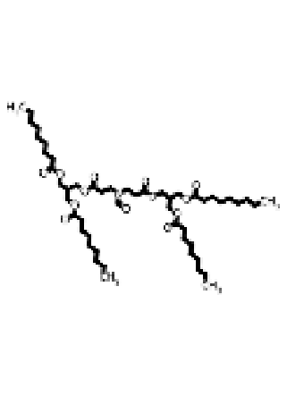 CCCCCCCCC(=O)OCC(COC(=O)CCCCCCCC)COC(=O)CCN(C=O)CCC(=O)OCC(COC(=O)CCCCCCCC)COC(=O)CCCCCCCC